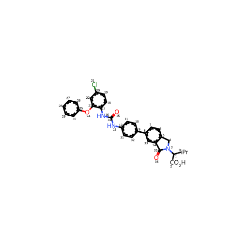 CC(C)C(C(=O)O)N1Cc2ccc(-c3ccc(NC(=O)Nc4ccc(Cl)cc4Oc4ccccc4)cc3)cc2C1=O